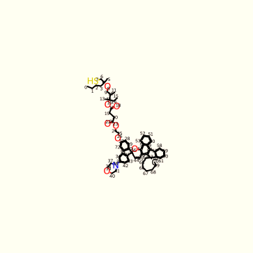 CCCCC(C)(CS)OCC(C)C(C)(CC)OC(=O)CCC(=O)OCCOc1ccc(C2(c3ccc(N4CCOCC4)cc3)C=Cc3c4c(c5ccccc5c3O2)-c2ccccc2C42CCCCCCC2)cc1